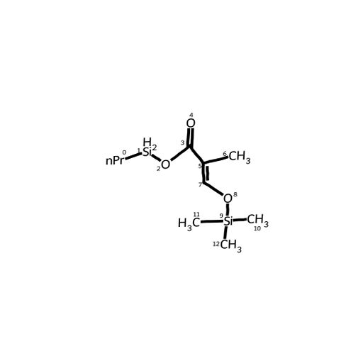 CCC[SiH2]OC(=O)C(C)=CO[Si](C)(C)C